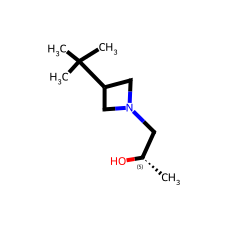 C[C@H](O)CN1CC(C(C)(C)C)C1